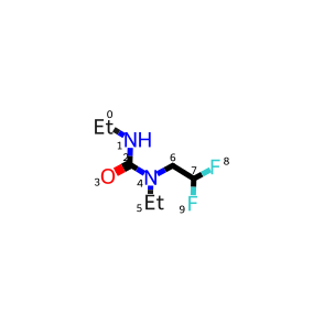 CCNC(=O)N(CC)CC(F)F